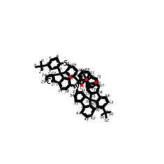 CC(C)(C)c1ccc2c(c1)C1(c3cc(C(C)(C)C)ccc3S2)c2ccccc2-c2ccc(N(c3ccc4c(c3)C3(c5ccccc5-4)c4cc(C(C)(C)C)ccc4-c4ccc(C(C)(C)C)cc43)c3cccc4ccccc34)cc21